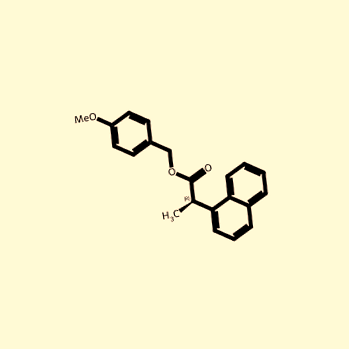 COc1ccc(COC(=O)[C@H](C)c2cccc3ccccc23)cc1